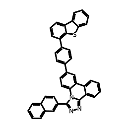 c1ccc2cc(-c3nnc4c5ccccc5c5cc(-c6ccc(-c7cccc8c7sc7ccccc78)cc6)ccc5n34)ccc2c1